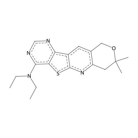 CCN(CC)c1ncnc2c1sc1nc3c(cc12)COC(C)(C)C3